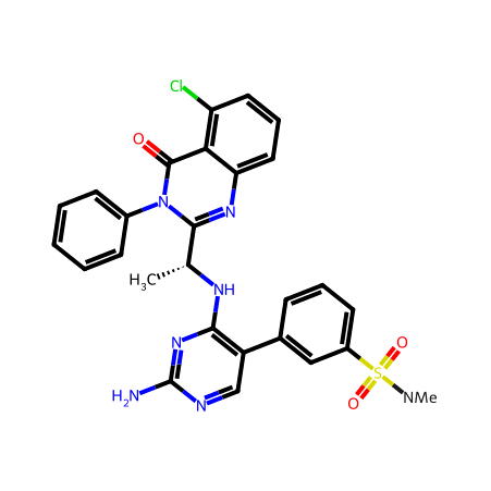 CNS(=O)(=O)c1cccc(-c2cnc(N)nc2N[C@H](C)c2nc3cccc(Cl)c3c(=O)n2-c2ccccc2)c1